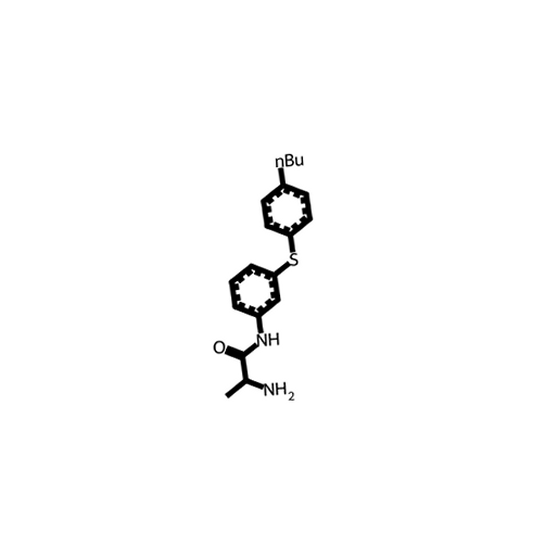 CCCCc1ccc(Sc2cccc(NC(=O)C(C)N)c2)cc1